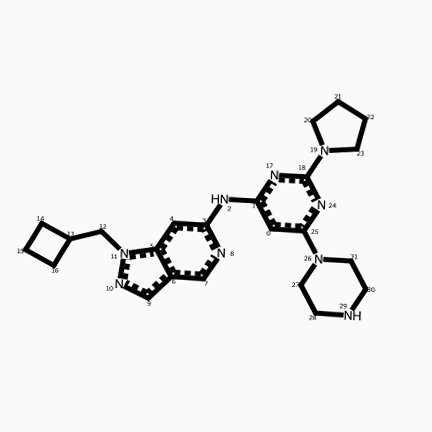 c1c(Nc2cc3c(cn2)cnn3CC2CCC2)nc(N2CCCC2)nc1N1CCNCC1